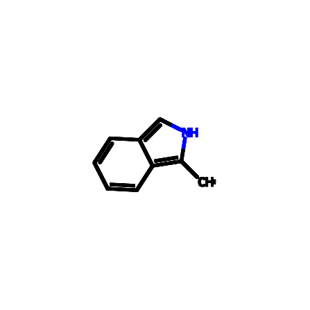 [CH]c1[nH]cc2ccccc12